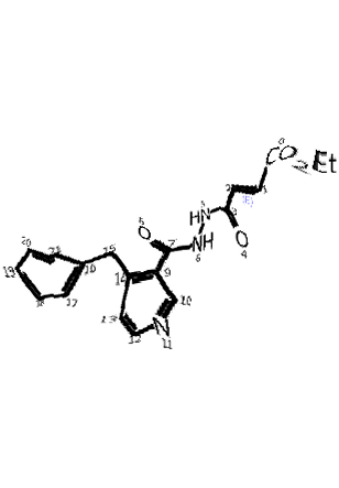 CCOC(=O)/C=C/C(=O)NNC(=O)c1cnccc1Cc1ccccc1